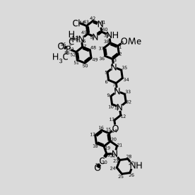 COc1cc(N2CCC(N3CCN(CCOc4cccc5c4CN(C4CCCNC4)C5=C=O)CC3)CC2)ccc1Nc1ncc(Cl)c(Nc2ccccc2P(C)(C)=O)n1